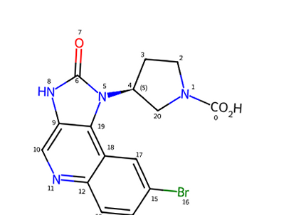 O=C(O)N1CC[C@H](n2c(=O)[nH]c3cnc4ccc(Br)cc4c32)C1